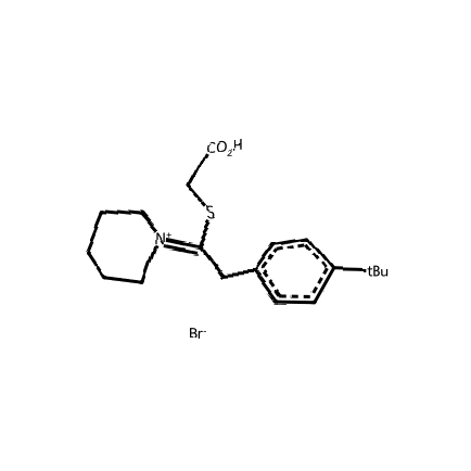 CC(C)(C)c1ccc(CC(SCC(=O)O)=[N+]2CCCCC2)cc1.[Br-]